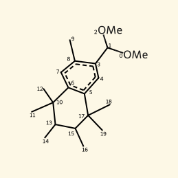 COC(OC)c1cc2c(cc1C)C(C)(C)C(C)C(C)C2(C)C